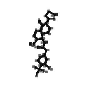 Cc1ccc2c(=O)n([C@H]3CCNC3)ccc2c1NC(=O)Cc1ccc(C(F)(F)F)c(F)c1